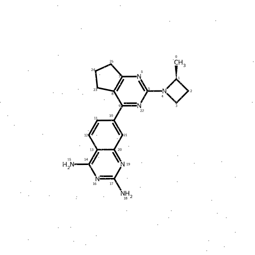 C[C@H]1CCN1c1nc2c(c(-c3ccc4c(N)nc(N)nc4c3)n1)CCC2